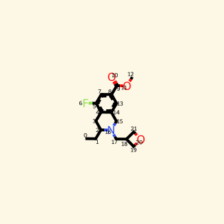 CCC1Cc2c(F)cc(C(=O)OC)cc2CN1CC1COC1